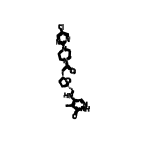 Cc1c(NC[C@@H]2CC[C@H](CC(=O)N3CCN(c4ncc(Cl)cn4)CC3)O2)cn[nH]c1=O